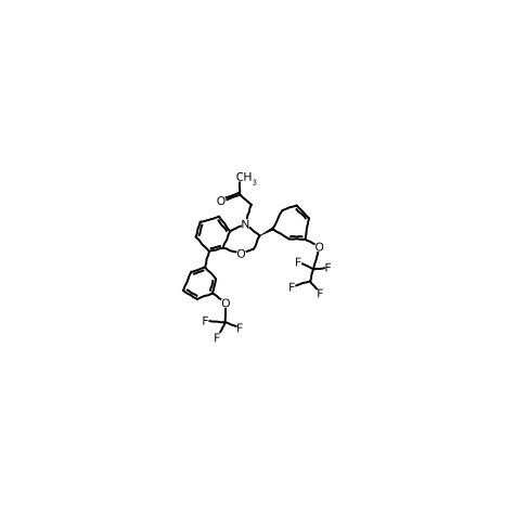 CC(=O)CN1c2cccc(-c3cccc(OC(F)(F)F)c3)c2OC[C@@H]1C1C=C(OC(F)(F)C(F)F)C=CC1